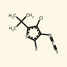 CC(C)(C)c1sc(F)c(N=C=S)c1Cl